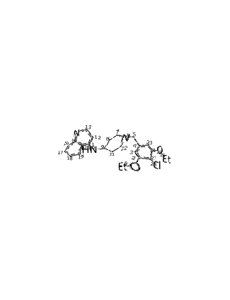 CCOc1cc(CN2CCC(Nc3ccnc4ccccc34)CC2)cc(OCC)c1Cl